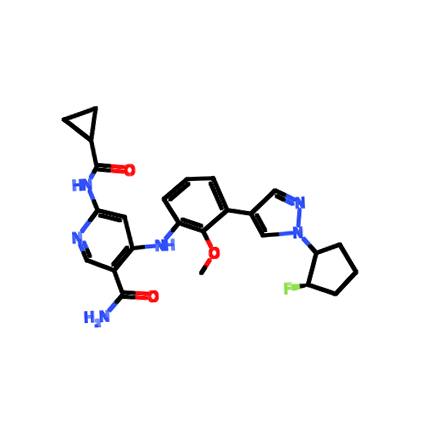 COc1c(Nc2cc(NC(=O)C3CC3)ncc2C(N)=O)cccc1-c1cnn(C2CCC[C@H]2F)c1